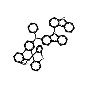 c1ccc(N(c2ccc3c(c2)C2(c4ccccc4Sc4ccccc42)c2cccc4cccc-3c24)c2ccc3c4ccccc4n(-c4cccc5oc6ccccc6c45)c3c2)cc1